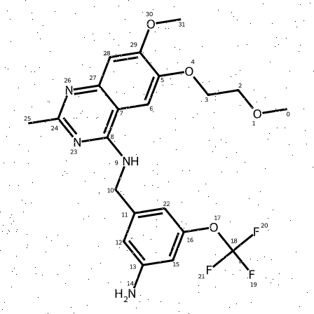 COCCOc1cc2c(NCc3cc(N)cc(OC(F)(F)F)c3)nc(C)nc2cc1OC